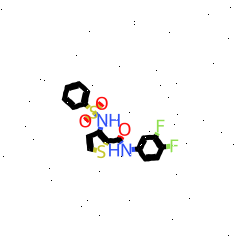 O=C(Nc1ccc(F)c(F)c1)c1sccc1NS(=O)(=O)c1ccccc1